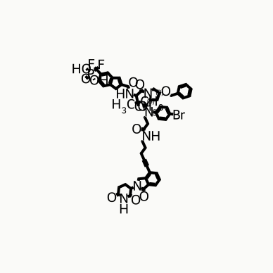 CC(C)(C)C(NC(=O)C1=Cc2cc(C(F)(F)P(=O)(O)O)ccc2C1)C(=O)N1C[C@H](OCc2ccccc2)C[C@H]1C(=O)N(CCC(=O)NCCCC#Cc1cccc2c1CN(C1CCC(=O)NC1=O)C2=O)c1ccc(Br)cc1